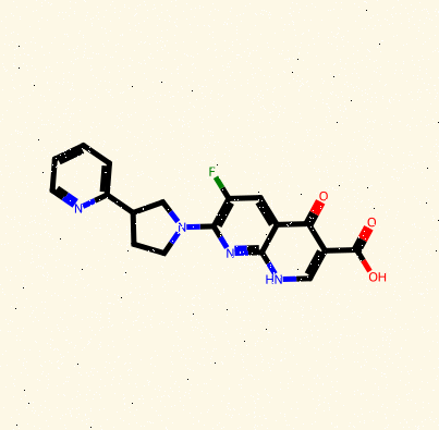 O=C(O)c1c[nH]c2nc(N3CCC(c4ccccn4)C3)c(F)cc2c1=O